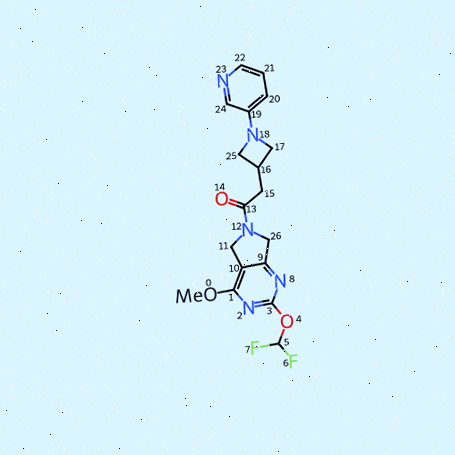 COc1nc(OC(F)F)nc2c1CN(C(=O)CC1CN(c3cccnc3)C1)C2